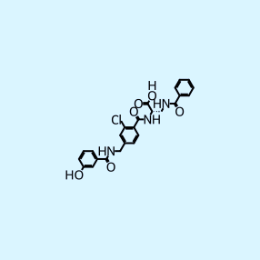 O=C(NCc1ccc(C(=O)N[C@@H](CNC(=O)c2ccccc2)C(=O)O)c(Cl)c1)c1cccc(O)c1